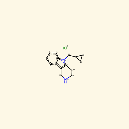 Cl.c1ccc2c(c1)c1c(n2CC2CC2)CCNC1